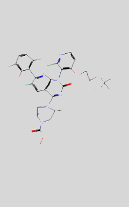 C[C@@H]1CN(c2nc(=O)n(-c3c(OCCO[Si](C)(C)C(C)(C)C)ccnc3Cl)c3nc(-c4c(F)ccc(F)c4O)c(F)cc23)[C@@H](C)CN1C(=O)OC(C)(C)C